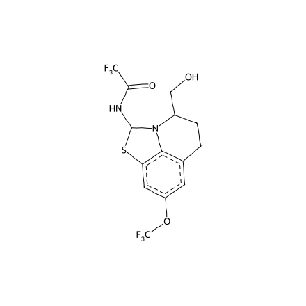 O=C(NC1Sc2cc(OC(F)(F)F)cc3c2N1C(CO)CC3)C(F)(F)F